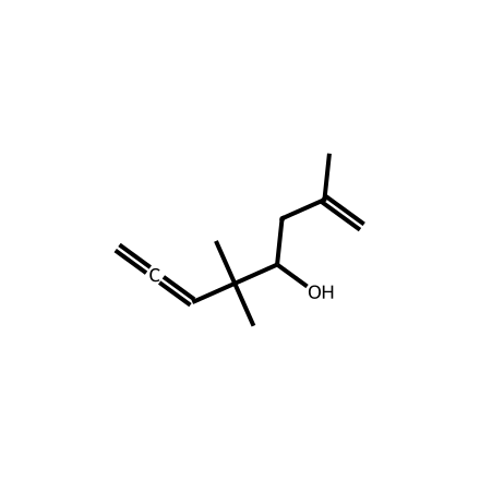 C=C=CC(C)(C)C(O)CC(=C)C